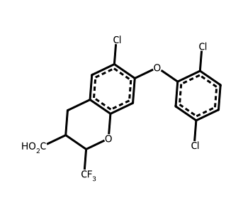 O=C(O)C1Cc2cc(Cl)c(Oc3cc(Cl)ccc3Cl)cc2OC1C(F)(F)F